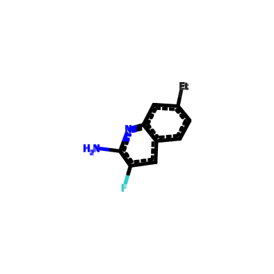 [CH2]Cc1ccc2cc(F)c(N)nc2c1